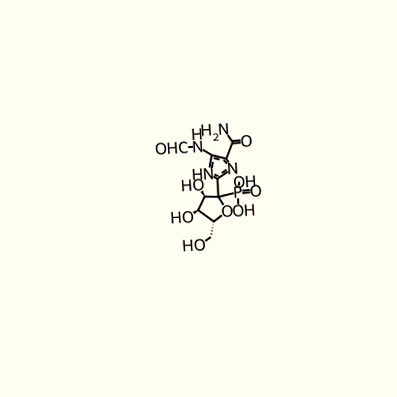 NC(=O)c1nc(C2(P(=O)(O)O)O[C@H](CO)[C@@H](O)[C@H]2O)[nH]c1NC=O